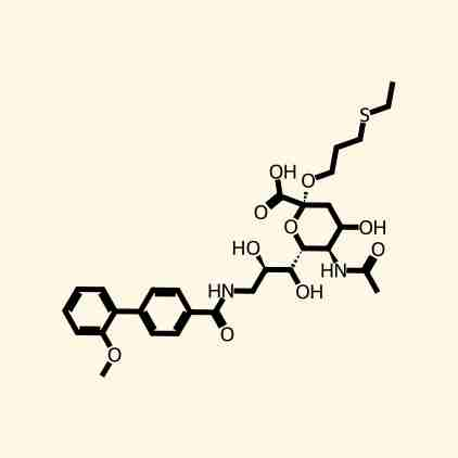 CCSCCCO[C@]1(C(=O)O)CC(O)[C@@H](NC(C)=O)[C@H](C(O)[C@H](O)CNC(=O)c2ccc(-c3ccccc3OC)cc2)O1